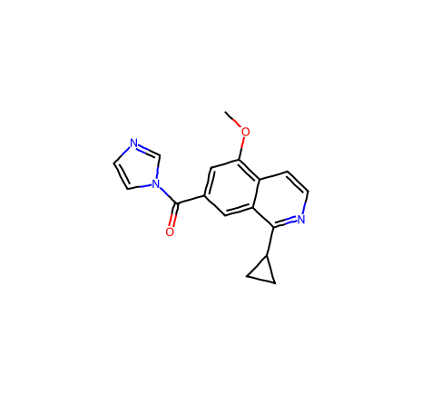 COc1cc(C(=O)n2ccnc2)cc2c(C3CC3)nccc12